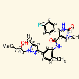 COC[C@@H](O)Cn1nc(-c2ccc(C)c(NC(=O)C3=CN(C)C(=O)N[C@H]3c3ccc(F)cc3)c2)cc1C